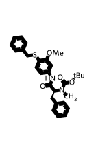 COc1cc(NC(=O)[C@H](Cc2ccccc2)N(C)C(=O)OC(C)(C)C)ccc1SCc1ccccc1